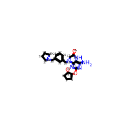 Nc1nc(OC2CCCC2=O)nc2c1NC(=O)CN2Cc1cccc(CN2CCCC2)c1